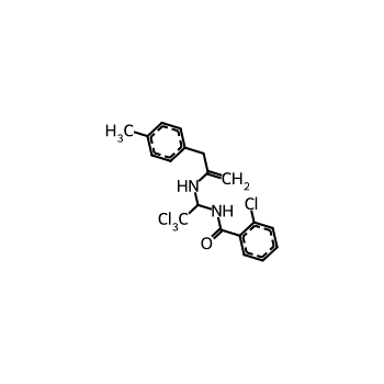 C=C(Cc1ccc(C)cc1)NC(NC(=O)c1ccccc1Cl)C(Cl)(Cl)Cl